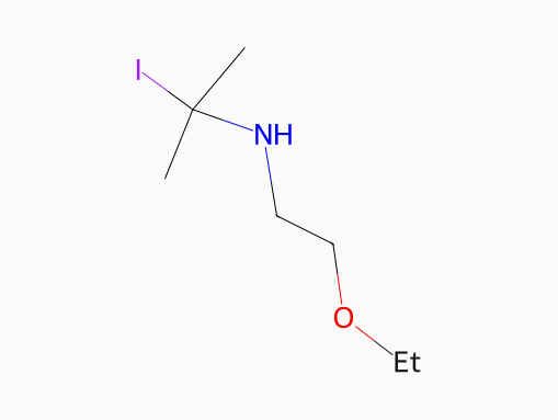 CCOCCNC(C)(C)I